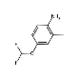 Cc1cc(OC(F)F)ccc1N